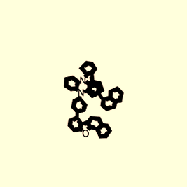 c1cc(-c2cccc3ccccc23)cc(N(c2ccc(-c3cccc4oc5c6ccccc6ccc5c34)cc2)c2ccccc2-n2c3ccccc3c3ccccc32)c1